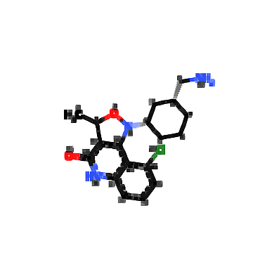 CC1ON([C@H]2CCC[C@@H](CN)C2)c2c1c(=O)[nH]c1cccc(Cl)c21